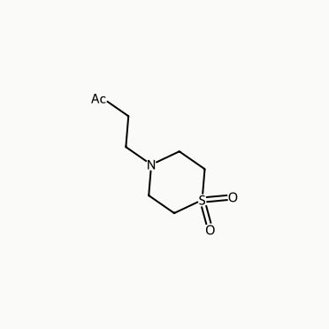 CC(=O)CCN1CCS(=O)(=O)CC1